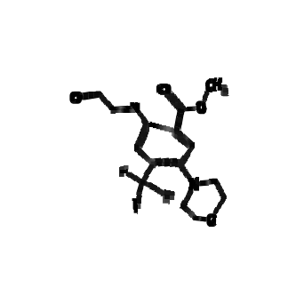 COC(=O)c1cc(N2CCOCC2)c(C(F)(F)F)cc1N=CC=O